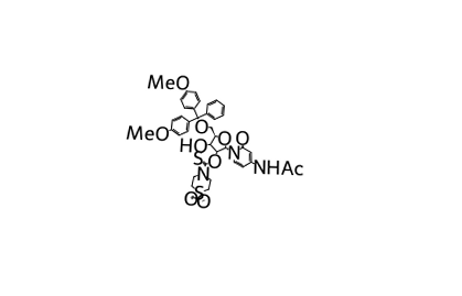 COc1ccc(C(OC[C@H]2O[C@@H](n3ccc(NC(C)=O)cc3=O)[C@@H](OC(=S)N3CCS(=O)(=O)CC3)C2O)(c2ccccc2)c2ccc(OC)cc2)cc1